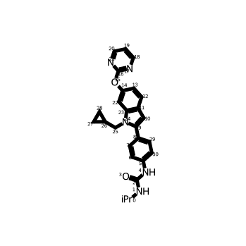 CC(C)NC(=O)Nc1ccc(-c2cc3ccc(Oc4ncccn4)cc3n2CC2CC2)cc1